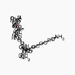 CC[C@H](C)[C@@H]([C@@H](CC(=O)N1CCC[C@H]1[C@H](OC)[C@@H](C)C(=O)N[C@@H](Cc1ccccc1)c1nccs1)OC)N(C)C(=O)[C@@H](NC(=O)C(C)(C)NC(=O)OCc1ccc(NC(=O)[C@H](CCCNC(N)=O)NC(=O)[C@@H](NC(=O)CCOCCOCCOCCOCCOCCOCCN)C(C)C)cc1)C(C)C